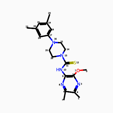 COc1nc(C)c(C)nc1NC(=S)N1CCN(c2cc(C)cc(C)c2)CC1